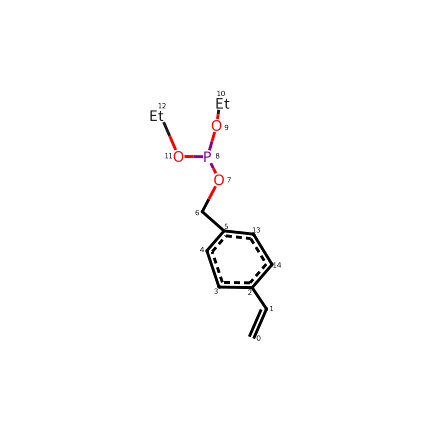 C=Cc1ccc(COP(OCC)OCC)cc1